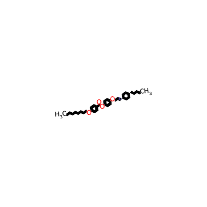 CCCCCCCCCOc1ccc(C(=O)Oc2ccc(OC/C=C/[C@H]3CC[C@H](CCCCC)CC3)cc2)cc1